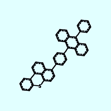 c1ccc(-c2c3ccccc3c(-c3ccc(-c4ccc5c6c(cccc46)-c4ccccc4S5)cc3)c3ccccc23)cc1